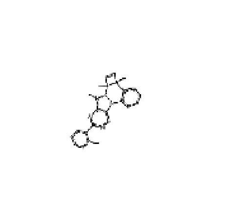 Cc1ccccc1-c1ncc2c(n1)N(C)C1N2c2ccccc2C2(C)C=CC12C